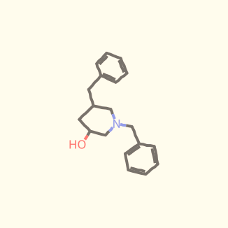 OC1CC(Cc2ccccc2)CN(Cc2ccccc2)C1